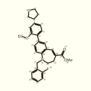 C1CCOC1.CCOc1ccccc1-c1ccc2c(c1)C=C(C(=O)OC)CCN2Cc1ccccc1F